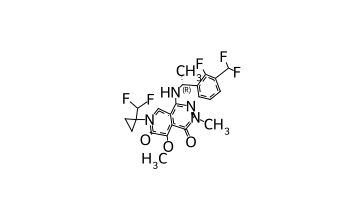 COc1c(=O)n(C2(C(F)F)CC2)cc2c(N[C@H](C)c3cccc(C(F)F)c3F)nn(C)c(=O)c12